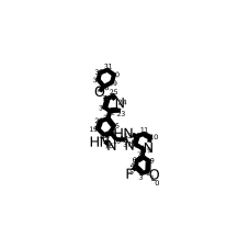 COc1cc(F)cc(-c2nccc3[nH]c(-c4n[nH]c5ccc(-c6cncc(OC7CCCCC7)c6)cc45)nc23)c1